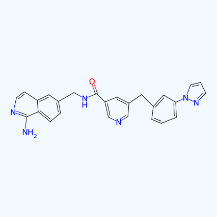 Nc1nccc2cc(CNC(=O)c3cncc(Cc4cccc(-n5cccn5)c4)c3)ccc12